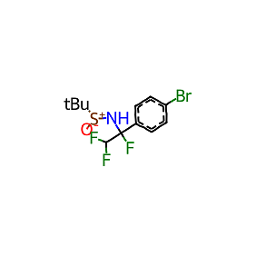 CC(C)(C)[S+]([O-])NC(F)(c1ccc(Br)cc1)C(F)F